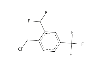 FC(F)c1cc(C(F)(F)F)ccc1CCl